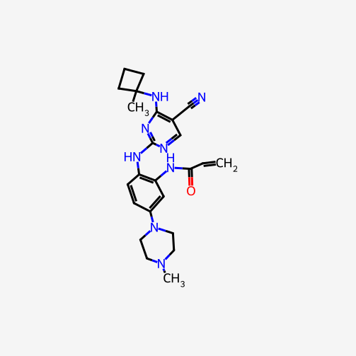 C=CC(=O)Nc1cc(N2CCN(C)CC2)ccc1Nc1ncc(C#N)c(NC2(C)CCC2)n1